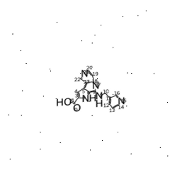 O=C(O)c1cc2c([nH]1)c(NCc1cccnc1)nc1ccncc12